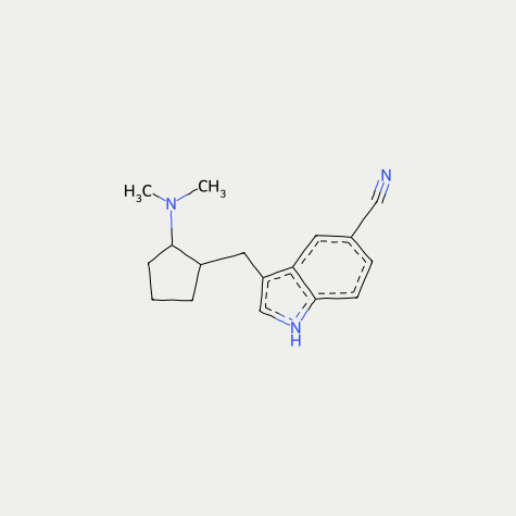 CN(C)C1CCCC1Cc1c[nH]c2ccc(C#N)cc12